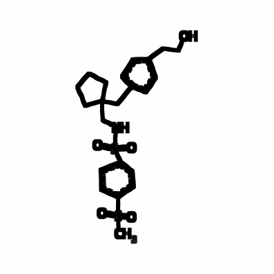 CS(=O)(=O)c1ccc(S(=O)(=O)NCC2(Cc3ccc(CCO)cc3)CCCC2)cc1